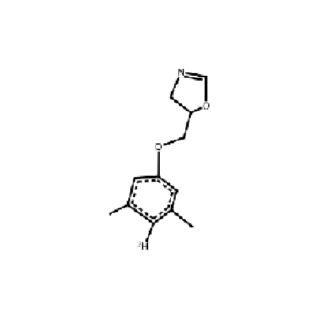 [2H]c1c(C)cc(OCC2CN=CO2)cc1C